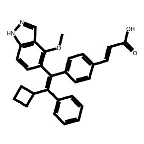 COc1c(/C(=C(/c2ccccc2)C2CCC2)c2ccc(/C=C/C(=O)O)cc2)ccc2[nH]ncc12